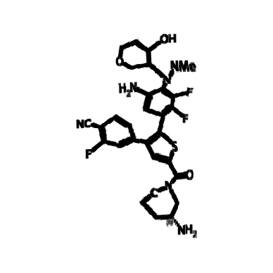 CNN(c1c(N)cc(-c2sc(C(=O)N3CCC[C@@H](N)C3)cc2-c2ccc(C#N)c(F)c2)c(F)c1F)C1COCCC1O